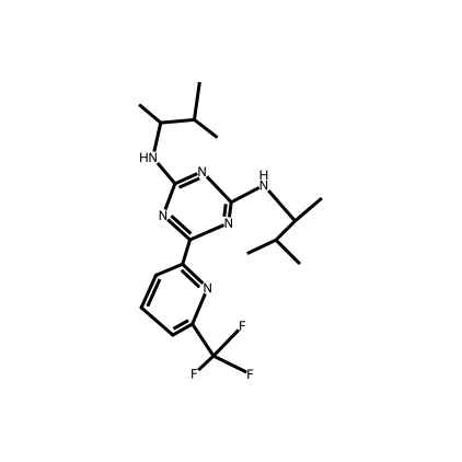 CC(C)C(C)Nc1nc(NC(C)C(C)C)nc(-c2cccc(C(F)(F)F)n2)n1